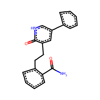 NC(=O)c1ccccc1C[CH]c1cc(-c2ccccc2)c[nH]c1=O